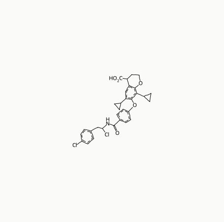 O=C(NC(Cl)Cc1ccc(Cl)cc1)c1ccc(Oc2c(C3CC3)cc3c(c2C2CC2)OCCC3C(=O)O)cc1